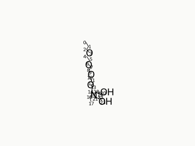 CCCOCCOCCOCCOCC[N+](CC)(CCO)CCO